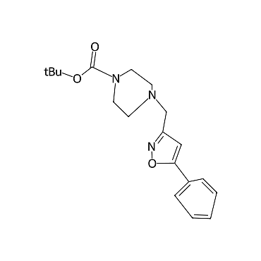 CC(C)(C)OC(=O)N1CCN(Cc2cc(-c3ccccc3)on2)CC1